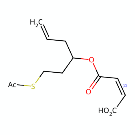 C=CCC(CCSC(C)=O)OC(=O)/C=C\C(=O)O